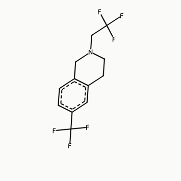 FC(F)(F)CN1CCc2cc(C(F)(F)F)ccc2C1